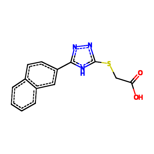 O=C(O)CSc1nnc(-c2ccc3ccccc3c2)[nH]1